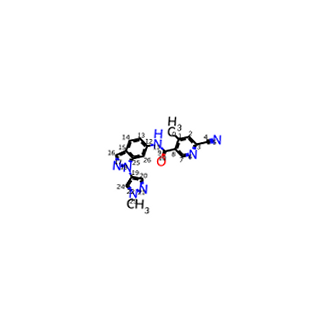 Cc1cc(C#N)ncc1C(=O)Nc1ccc2cnn(-c3cnn(C)c3)c2c1